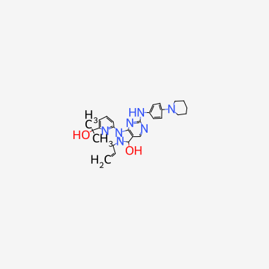 C=CCN1C(O)c2cnc(Nc3ccc(N4CCCCC4)cc3)nc2N1c1cccc(C(C)(C)O)n1